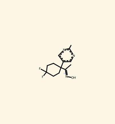 C/C(=N\O)C1(c2cnc(C)nc2)CCC(F)(F)CC1